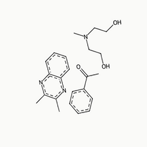 CC(=O)c1ccccc1.CN(CCO)CCO.Cc1nc2ccccc2nc1C